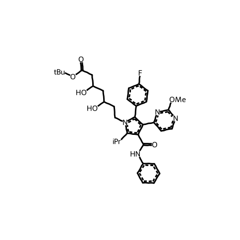 COc1nccc(-c2c(C(=O)Nc3ccccc3)c(C(C)C)n(CCC(O)CC(O)CC(=O)OC(C)(C)C)c2-c2ccc(F)cc2)n1